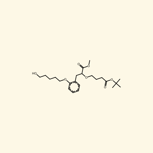 COC(=O)C(Cc1ccccc1OCCCCCO)OCCCC(=O)OC(C)(C)C